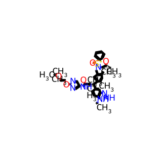 CCNc1ccc([C@H](c2ccc(C)c(CN3C[C@@H](CC)Oc4ccccc4[S+]3[O-])c2)C(C)(C)C(=O)Nc2cnc(OCCOC(C)(C)C)nc2)c(C)c1N=N